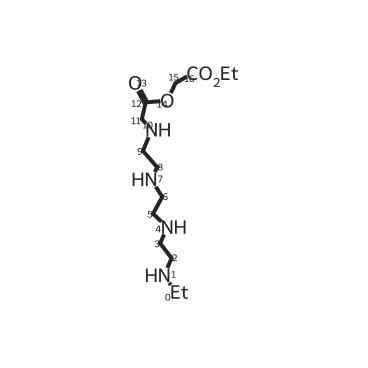 CCNCCNCCNCCNCC(=O)OCC(=O)OCC